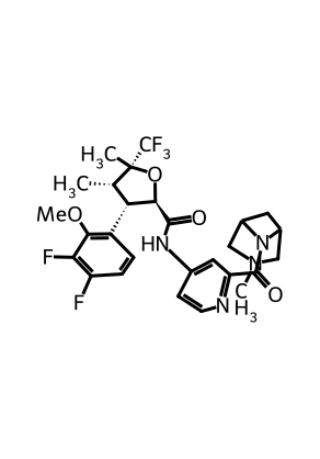 COc1c([C@H]2[C@H](C(=O)Nc3ccnc(C(=O)N4C5CC4CN(C)C5)c3)O[C@@](C)(C(F)(F)F)[C@H]2C)ccc(F)c1F